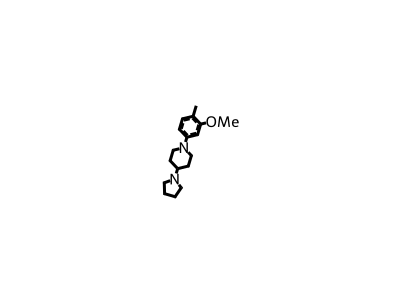 COc1cc(N2CCC(N3CCCC3)CC2)ccc1C